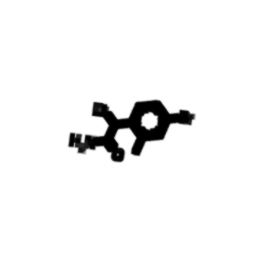 CCC(C(N)=O)c1ccc(Br)cc1C